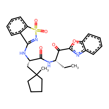 CC[C@H](NC(=O)[C@H](CC1(C)CCCC1)NC1=NS(=O)(=O)c2ccccc21)C(=O)c1nc2ccccc2o1